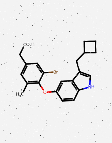 Cc1cc(CC(=O)O)cc(Br)c1Oc1ccc2[nH]cc(CC3CCC3)c2c1